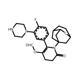 O=COC1=C(c2ccc(F)c(N3CCNCC3)c2)N(C23CC4CCC(C2)C(C4)C3)C(=O)CC1